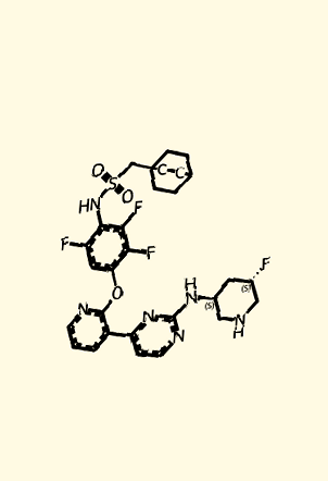 O=S(=O)(CC12CCC(CC1)CC2)Nc1c(F)cc(Oc2ncccc2-c2ccnc(N[C@@H]3CNC[C@@H](F)C3)n2)c(F)c1F